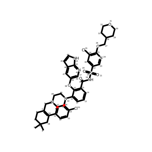 CC1(C)CCC(CN2CCN(c3cccc(C(=O)NS(=O)(=O)c4cnc(OCC5CCOCC5)c(Cl)c4)c3Oc3cnc4[nH]ccc4c3)CC2)=C(c2ccc(Cl)cc2)C1